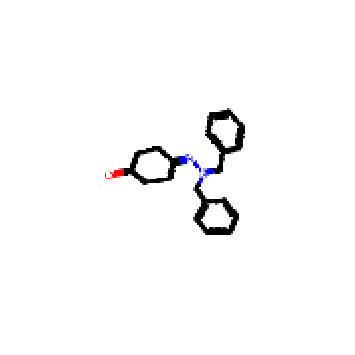 O=C1CCC(=NN(Cc2ccccc2)Cc2ccccc2)CC1